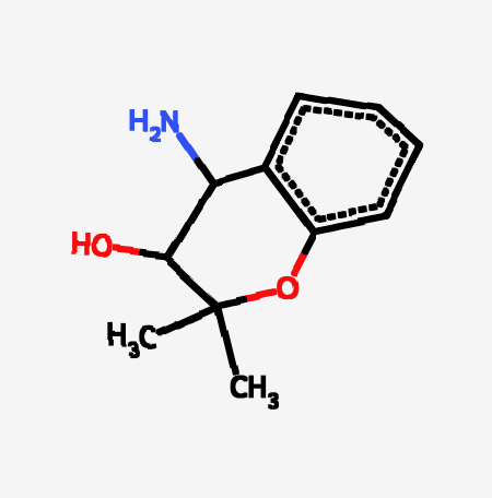 CC1(C)Oc2ccccc2C(N)C1O